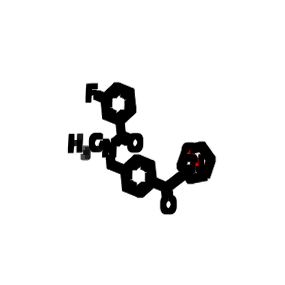 CN(Cc1ccc(C(=O)N2CC3CCC(CC3)C2)cc1)C(=O)c1cccc(F)c1